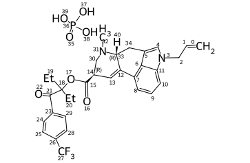 C=CCn1cc2c3c(cccc31)C1=C[C@@H](C(=O)OC(CC)(CC)C(=O)c3ccc(C(F)(F)F)cc3)CN(C)[C@@H]1C2.O=P(O)(O)O